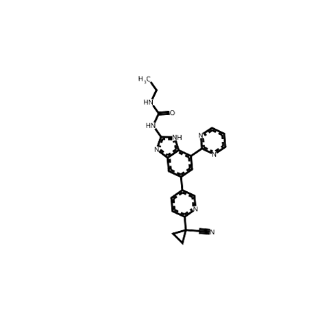 CCNC(=O)Nc1nc2cc(-c3ccc(C4(C#N)CC4)nc3)cc(-c3ncccn3)c2[nH]1